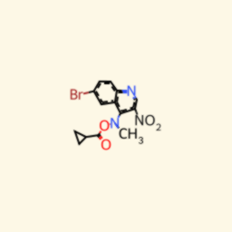 CN(OC(=O)C1CC1)c1c([N+](=O)[O-])cnc2ccc(Br)cc12